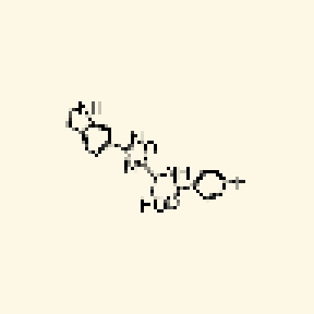 O=C(NC(CO)c1nc(-c2ccc3cc[nH]c3c2)no1)c1ccc(F)cc1